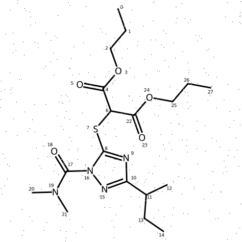 CCCOC(=O)C(Sc1nc(C(C)CC)nn1C(=O)N(C)C)C(=O)OCCC